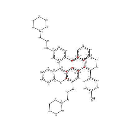 O=C(c1ccc(OCCN2CCCCC2)cc1C1=C(c2ccc(O)cc2)CCc2ccccc21)c1ccc(OCCN2CCCCC2)cc1C1=C(c2ccc(O)cc2)CCc2ccccc21